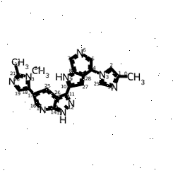 Cc1cn(-c2cncc3[nH]c(-c4n[nH]c5ncc(-c6cnc(C)n6C)cc45)cc23)cn1